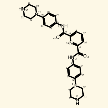 O=C(Nc1ccc(N2CCNCC2)cc1)c1cccc(C(=O)Nc2ccc(N3CCNCC3)cc2)n1